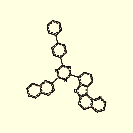 c1ccc(-c2ccc(-c3nc(-c4ccc5ccccc5c4)nc(-c4cccc5c4oc4ccc6cccnc6c45)n3)cc2)cc1